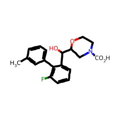 Cc1cccc(-c2c(F)cccc2C(O)C2CN(C(=O)O)CCO2)c1